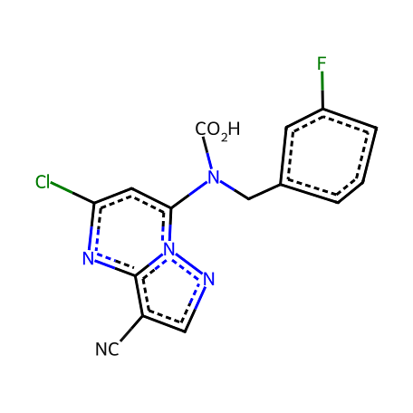 N#Cc1cnn2c(N(Cc3cccc(F)c3)C(=O)O)cc(Cl)nc12